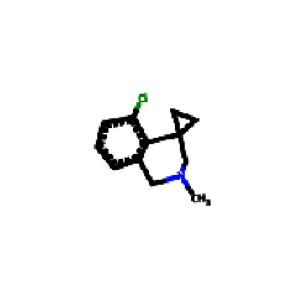 CN1Cc2cccc(Cl)c2C2(CC2)C1